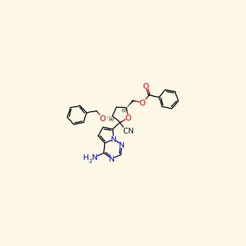 N#CC1(c2ccc3c(N)ncnn23)O[C@H](COC(=O)c2ccccc2)C[C@H]1OCc1ccccc1